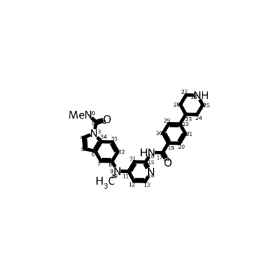 CNC(=O)n1ccc2cc(N(C)c3ccnc(NC(=O)c4ccc(C5CCNCC5)cc4)c3)ccc21